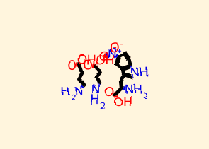 NC(Cc1c[nH]c2ccc([N+](=O)[O-])cc12)C(=O)O.NCCCC(=O)O.NCCCC(=O)O